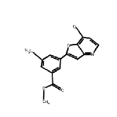 COC(=O)c1cc(C)cc(-c2cc3nccc(Cl)c3o2)c1